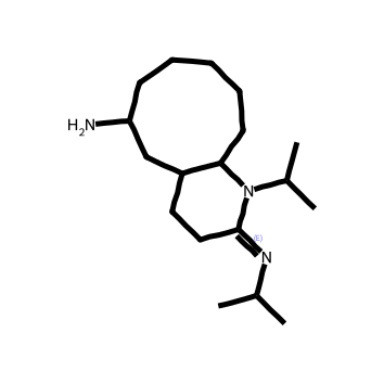 CC(C)/N=C1\CCC2CC(N)CCCCCC2N1C(C)C